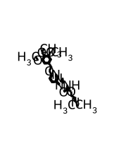 COc1cc(COc2ccc3nc(NC(=O)OCCN(C)C)cn3n2)cc(OC)c1OC